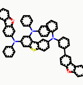 c1ccc(N(c2ccc3c(c2)oc2ccccc23)c2cc(N(c3ccccc3)c3ccccc3)c3c(c2)sc2ccc(N(c4ccccc4)c4cccc(-c5ccc6oc7ccccc7c6c5)c4)cc23)cc1